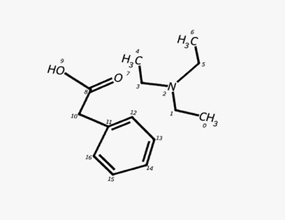 CCN(CC)CC.O=C(O)Cc1ccccc1